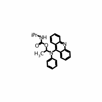 CC(C)NC(=O)OC(C)N(c1ccccc1)c1c2ccccc2nc2ccccc12